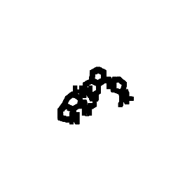 CN(C)[C@H]1CCN(c2cccc3c2C[C@H](CN(C)[C@H]2CCCc4cccnc42)NC3)C1